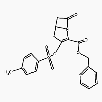 Cc1ccc(S(=O)(=O)OC2=C(C(=O)OCc3ccccc3)N3C(=O)CC3C2)cc1